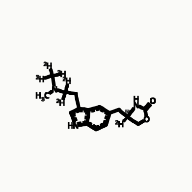 [2H]C([2H])([2H])N(C)C([2H])([2H])Cc1c[nH]c2ccc(C[C@@]3([2H])COC(=O)N3)cc12